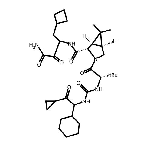 CC(C)(C)[C@H](NC(=O)N[C@H](C(=O)C1CC1)C1CCCCC1)C(=O)N1C[C@H]2[C@@H]([C@H]1C(=O)NC(CC1CCC1)C(=O)C(N)=O)C2(C)C